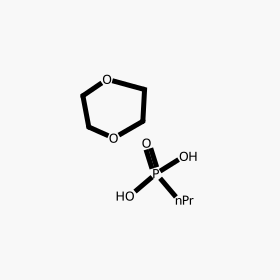 C1COCCO1.CCCP(=O)(O)O